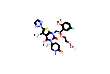 COCCO[C@@H](Cn1c(=O)n([C@@]2(C)CCC(=O)NC2)c(=O)c2c(C)c(-n3nccn3)sc21)c1cc(F)ccc1OC